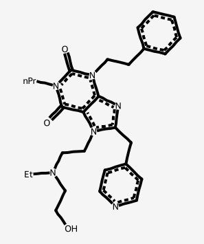 CCCn1c(=O)c2c(nc(Cc3ccncc3)n2CCN(CC)CCO)n(CCc2ccccc2)c1=O